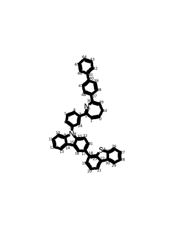 C1=CC(c2cccc(-n3c4ccccc4c4cc(-c5cccc6c5sc5ccccc56)ccc43)c2)=NC(c2ccc(-c3ccccc3)cc2)=CC1